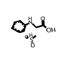 C[SH](=O)=O.O=C(O)CNc1ccccc1